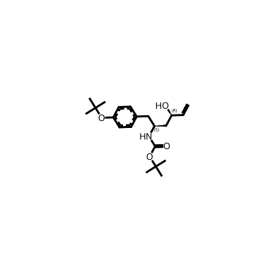 C=C[C@H](O)C[C@H](Cc1ccc(OC(C)(C)C)cc1)NC(=O)OC(C)(C)C